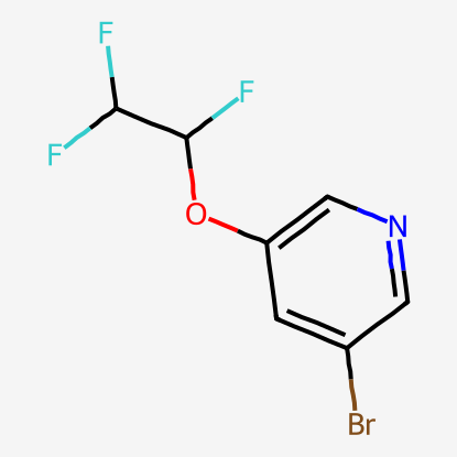 FC(F)C(F)Oc1cncc(Br)c1